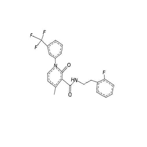 Cc1ccn(-c2cccc(C(F)(F)F)c2)c(=O)c1C(=O)NCCc1ccccc1F